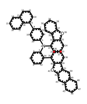 c1ccc(N(c2ccc(-c3cccc4ccccc34)cc2)c2cccc3oc4ccccc4c23)c(-c2cccc3c2oc2cc4ccccc4cc23)c1